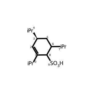 CC(C)C1=C[C@@H](C(C)C)CC(C(C)C)C1S(=O)(=O)O